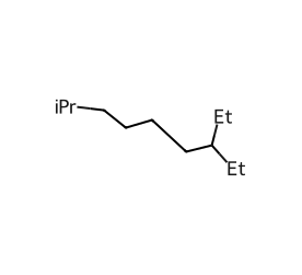 [CH2]C(C)CCCCC(CC)CC